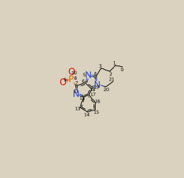 CCCCc1nc2c(P(=O)=O)nc3ccccc3c2n1CC